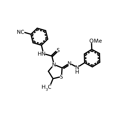 COc1cccc(NN=C2SC(C)CN2C(=S)Nc2cccc(C#N)c2)c1